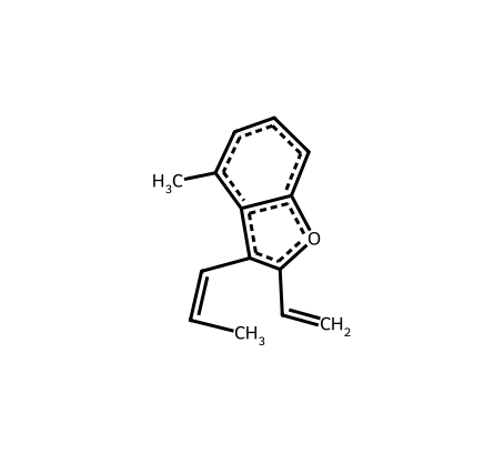 C=Cc1oc2cccc(C)c2c1/C=C\C